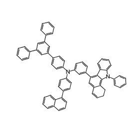 C1=Cc2cc(-c3cccc(N(c4ccc(-c5cc(-c6ccccc6)cc(-c6ccccc6)c5)cc4)c4ccc(-c5cccc6ccccc56)cc4)c3)c3c4ccccc4n(-c4ccccc4)c3c2CC1